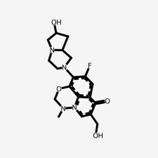 CN1COc2c(N3CCN4CC(O)CC4C3)c(F)cc3c(=O)c(CO)cn1c23